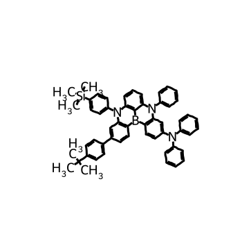 CC(C)(C)c1ccc(-c2ccc3c(c2)N(c2ccc([Si](C)(C)C)cc2)c2cccc4c2B3c2ccc(N(c3ccccc3)c3ccccc3)cc2N4c2ccccc2)cc1